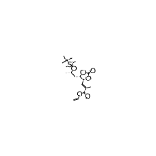 CCOC(=O)/C(C)=C/[C@@H]1OC(=O)O[C@H]1C[C@H](C)O[Si](C)(C)C(C)(C)C